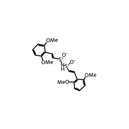 COc1cccc(OC)c1C=C[S+]([O-])N[S+]([O-])C=Cc1c(OC)cccc1OC